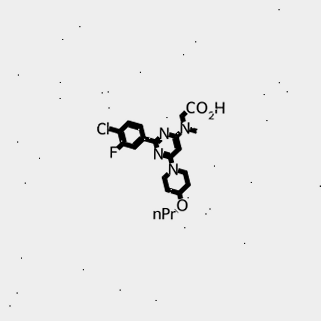 CCCOC1CCN(c2cc(N(C)CC(=O)O)nc(-c3ccc(Cl)c(F)c3)n2)CC1